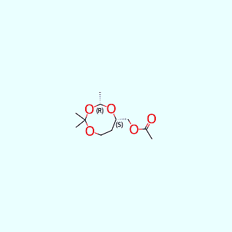 CC(=O)OC[C@@H]1CCOC(C)(C)O[C@H](C)O1